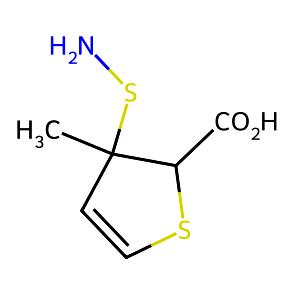 CC1(SN)C=CSC1C(=O)O